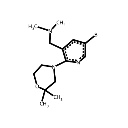 CN(C)Cc1cc(Br)cnc1N1CCOC(C)(C)C1